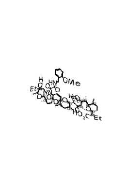 CCC(C(=O)[C@@H](C)[C@@H](O)[C@H](C)[C@@H]1O[C@@H]([C@@H](CC)C(=O)O)CC[C@@H]1C)[C@H]1O[C@]2(C=CC(NC(=O)C(=O)NCc3ccccc3OC)[C@]3(CC[C@@](C)([C@H]4CC[C@](O)(CC)[C@H](C)O4)O3)O2)[C@H](C)C[C@@H]1C